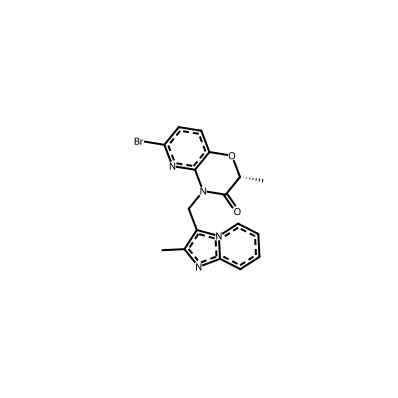 Cc1nc2ccccn2c1CN1C(=O)[C@@H](C)Oc2ccc(Br)nc21